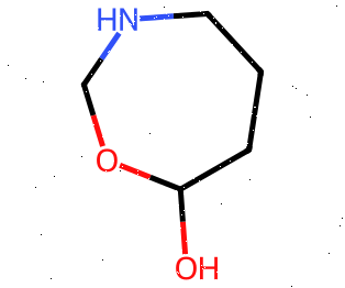 OC1CCCNCO1